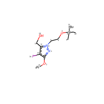 CC(C)Oc1nn(CCO[Si](C)(C)C(C)(C)C)c(CO)c1I